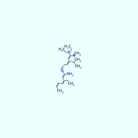 C=N/C(=C\C(=C/CC1CN1/C(N)=C/C(=C\C=C/C)CC)C(C)C)N(CC)CC